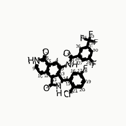 O=C(Nc1cc2c(=O)[nH]ccc2c2c1C(c1cc(F)ccc1Cl)NC2=O)c1cc(F)cc(C(F)(F)F)c1